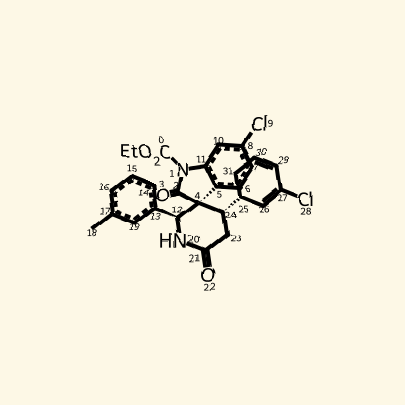 CCOC(=O)N1C(=O)[C@]2(c3ccc(Cl)cc31)[C@H](c1cccc(C)c1)NC(=O)C[C@H]2C1C=C(Cl)C=CC1